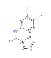 CC1Nc2cc(F)c(F)cc2-n2cccc21